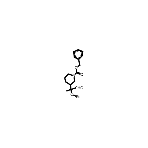 CCOC(C)(C=O)C1CCCN(C(=O)OCc2ccccc2)C1